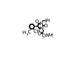 COC(=O)Cn1cc(-c2cccc(C)c2C)c(=O)n(CC(C)C)c1=O